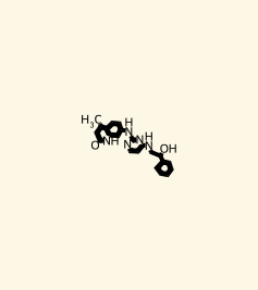 Cc1cc(=O)[nH]c2cc(Nc3nccc(NCC(O)c4ccccc4)n3)ccc12